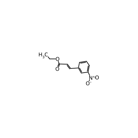 CCOC(=O)/C=C/c1cccc([N+](=O)[O-])c1